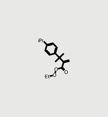 C=C(C(=O)OO[CH]C)C(C)(C)c1ccc(C(C)C)cc1